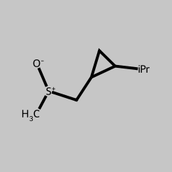 CC(C)C1CC1C[S+](C)[O-]